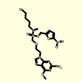 COc1nc(N)nc2c1ncn2CCOCP(=O)(OCc1ccc([N+](=O)[O-])o1)N(C)CCCCCl